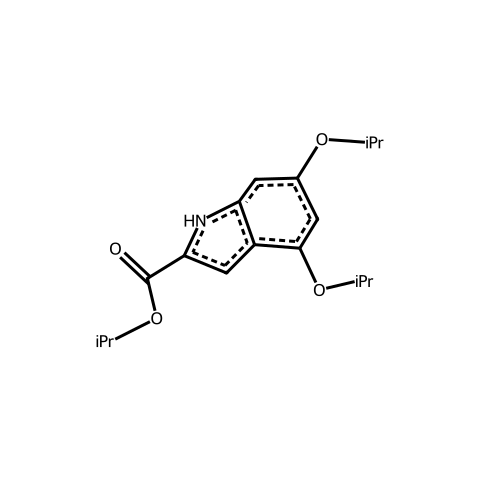 CC(C)OC(=O)c1cc2c(OC(C)C)cc(OC(C)C)cc2[nH]1